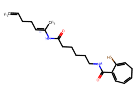 C=CCC/C=C(\C)NC(=O)CCCCCNC(=O)C1=CC=CCC=C1S